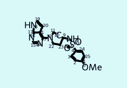 COc1ccc(S(=O)(=O)NC2CCN(c3ncnc4[nH]ccc34)CC2)cc1